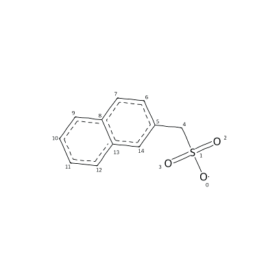 [O]S(=O)(=O)Cc1ccc2ccccc2c1